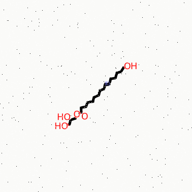 O=C(CCCCCCCC/C=C/CCCCCO)OCC(O)CO